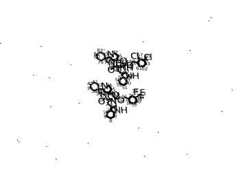 C[C@@](Cc1c[nH]c2ccccc12)(NC(=O)OCc1cccc(C(F)(F)F)c1)C(=O)NCC1(c2ccccn2)CCCCC1.C[C@@](Cc1c[nH]c2ccccc12)(NC(=O)OCc1cccc(Cl)c1Cl)C(=O)NCC1(c2ccccn2)CCCCC1